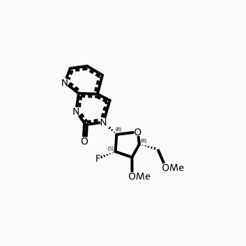 COC[C@H]1O[C@@H](n2cc3cccnc3nc2=O)[C@@H](F)C1OC